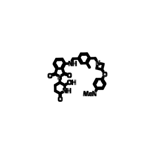 CNc1ccc(OC2CN(Cc3ccc(CNc4cccc5c4C(=O)N(C4CCC(=O)NC4O)C5=O)cc3C)C2)cc1